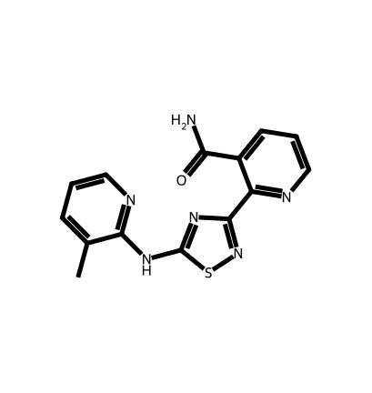 Cc1cccnc1Nc1nc(-c2ncccc2C(N)=O)ns1